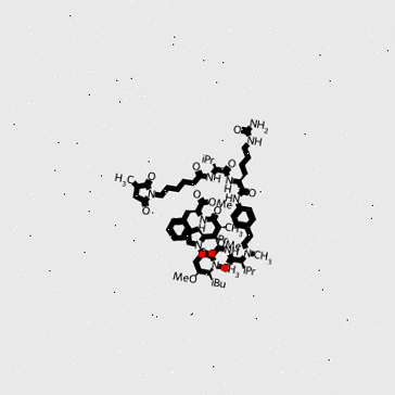 CC[C@H](C)[C@@H]([C@@H](CC(=O)N1CCC[C@H]1[C@H](OC)[C@@H](C)C(=O)N[C@@H](Cc1ccccc1)C(=O)OC)OC)N(C)C(=O)[C@@H](NC(=O)[C@H](C(C)C)N(C)CCc1ccc(NC(=O)[C@H](CCCCNC(N)=O)NC(=O)[C@@H](NC(=O)CCCCCN2C(=O)CC(C)C2=O)C(C)C)cc1)C(C)C